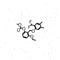 CCOc1cccc(OC(=O)OC)c1COc1cc(C)c(C)cc1C(F)F